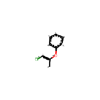 CC(=CCl)Oc1cc[c]cc1